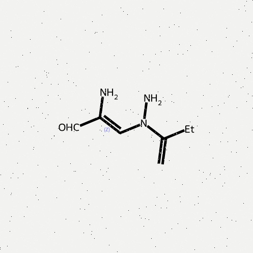 C=C(CC)N(N)/C=C(\N)C=O